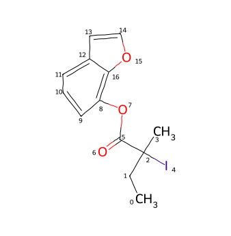 CCC(C)(I)C(=O)Oc1cccc2ccoc12